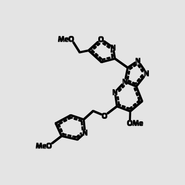 COCc1cc(-c2nnc3cc(OC)c(OCc4ccc(OC)cn4)nn23)no1